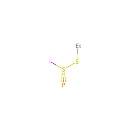 CCS[SH](#P)I